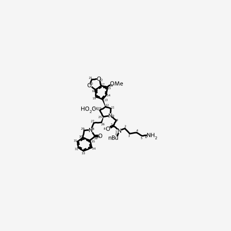 CCCCN(CCCCN)C(=O)CN1C[C@H](c2cc(OC)c3c(c2)OCO3)[C@@H](C(=O)O)[C@@H]1CCN1Cc2ccccc2C1=O